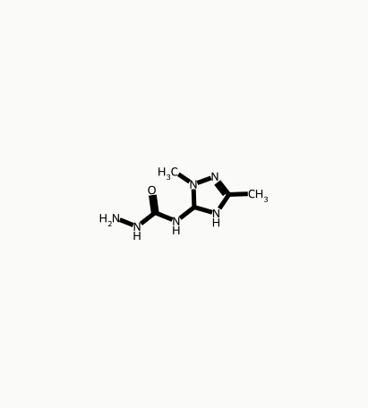 CC1=NN(C)C(NC(=O)NN)N1